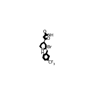 Br.O=c1cc([C@@H]2CCN[C@@H](Cc3cccc(C(F)(F)F)c3)C2)o[nH]1